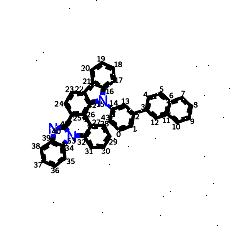 c1cc(-c2ccc3ccccc3c2)cc(-n2c3ccccc3c3ccc4c(c5ccccc5n5c6ccccc6nc45)c32)c1